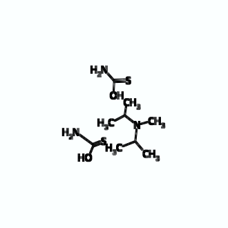 CC(C)N(C)C(C)C.NC(O)=S.NC(O)=S